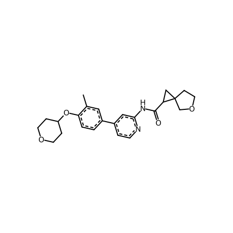 Cc1cc(-c2ccnc(NC(=O)C3CC34CCOC4)c2)ccc1OC1CCOCC1